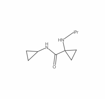 CC(C)NC1(C(=O)NC2CC2)CC1